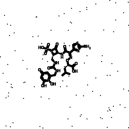 CC(C)C[C@H](ON=C(C(=O)N[C@@H]1C(=O)N(S(=O)(=O)O)[C@H]1CNC(=O)NCc1cc(=O)cc(O)n1O)c1csc(N)n1)C(=O)O